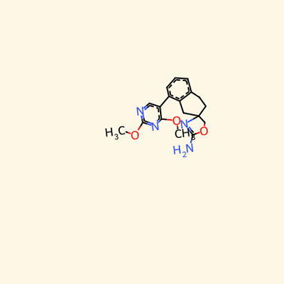 COc1ncc(-c2cccc3c2CC2(CC3)COC(N)=N2)c(OC)n1